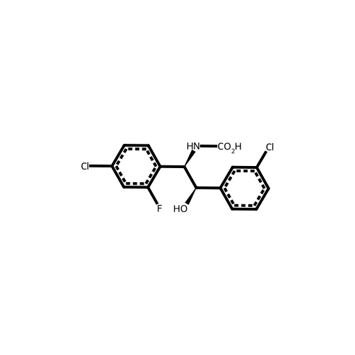 O=C(O)N[C@H](c1ccc(Cl)cc1F)[C@H](O)c1cccc(Cl)c1